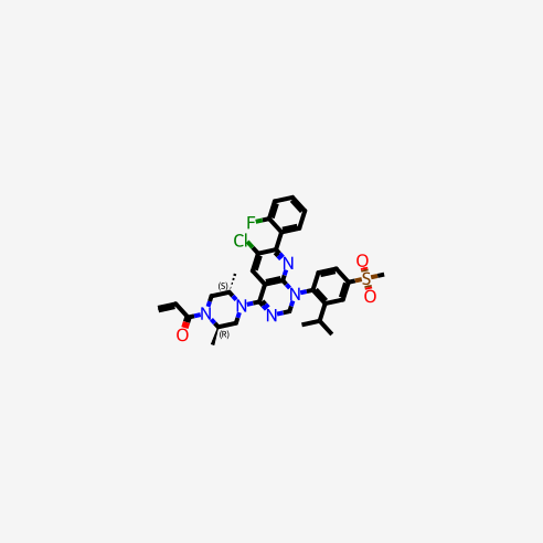 C=CC(=O)N1C[C@H](C)N(C2=NCN(c3ccc(S(C)(=O)=O)cc3C(C)C)c3nc(-c4ccccc4F)c(Cl)cc32)C[C@H]1C